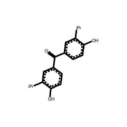 CC(C)c1cc(C(=O)c2ccc(O)c(C(C)C)c2)ccc1O